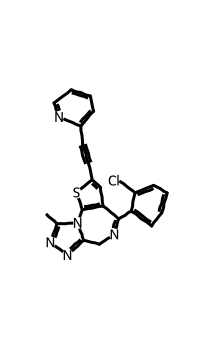 Cc1nnc2n1-c1sc(C#Cc3ccccn3)cc1C(c1ccccc1Cl)=NC2